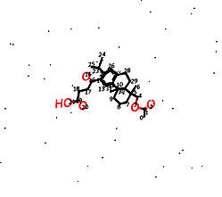 CC(=O)OCC1(C)CCCC2(C)c3cc(C(=O)CCC(=O)O)c(C(C)C)cc3CCC12